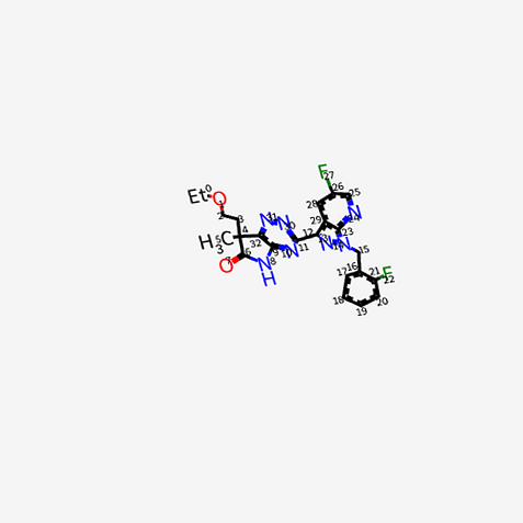 CCOCCC1(C)C(=O)Nc2nc(-c3nn(Cc4ccccc4F)c4ncc(F)cc34)nnc21